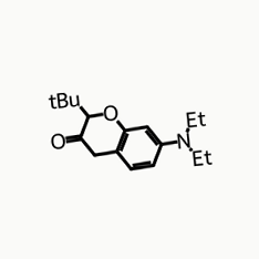 CCN(CC)c1ccc2c(c1)OC(C(C)(C)C)C(=O)C2